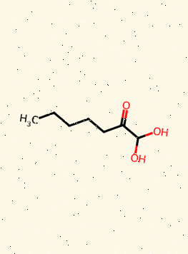 CCCCCC(=O)C(O)O